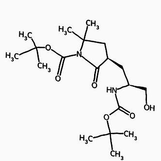 CC(C)(C)OC(=O)N[C@H](CO)C[C@@H]1CC(C)(C)N(C(=O)OC(C)(C)C)C1=O